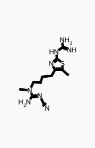 Cc1sc(NC(=N)N)nc1CCCCN(C)C(N)=NC#N